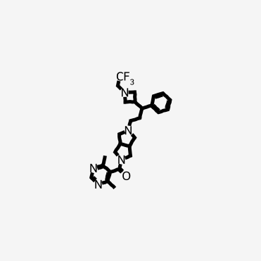 Cc1ncnc(C)c1C(=O)N1CC2CN(CCC(c3ccccc3)C3CN(CC(F)(F)F)C3)CC2C1